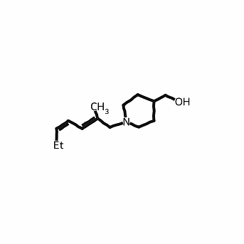 CC/C=C\C=C(/C)CN1CCC(CO)CC1